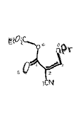 CCCC=C(C#N)C(=O)OC(=O)OCC